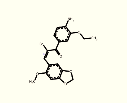 CCOc1cc(C(=O)/C(Br)=C\c2cc3c(cc2OC)OCO3)ccc1N